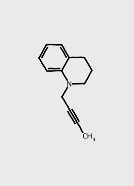 CC#CCN1CCCc2ccccc21